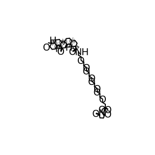 CC1(C)C(=O)CC[C@]2(C)[C@H]3C(=O)C=C4[C@H]5C[C@@](C)(C(=O)NCCOCCOOCCOOCCOOCCOCCC(=O)ON6C(=O)CCC6=O)CC[C@]5(C)CC[C@@]4(C)[C@]3(C)CC[C@@H]12